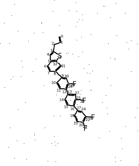 C=CCc1cc2ccc(-c3ccc(-c4ccc(-c5ccc(F)c(F)c5)c(F)c4)c(F)c3)cc2s1